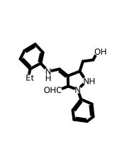 CCc1ccccc1NC=C1C(CCO)NN(c2ccccc2)C1C=O